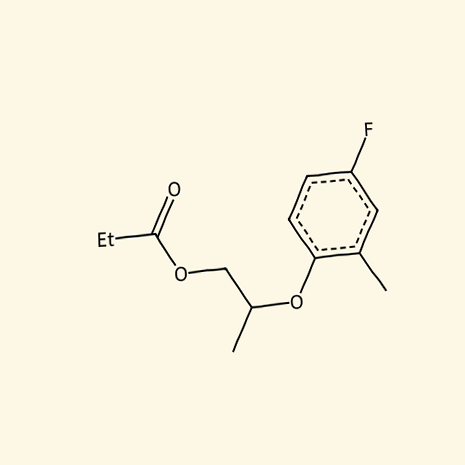 CCC(=O)OCC(C)Oc1ccc(F)cc1C